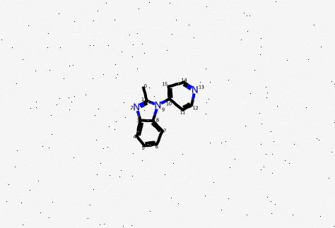 Cc1nc2ccccc2n1-c1ccncc1